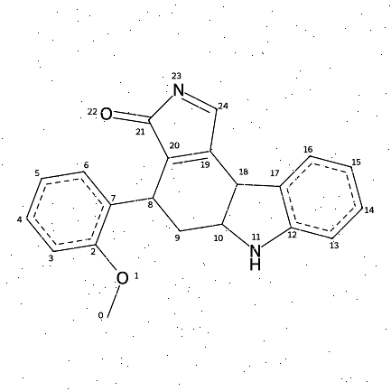 COc1ccccc1C1CC2Nc3ccccc3C2C2=C1C(=O)N=C2